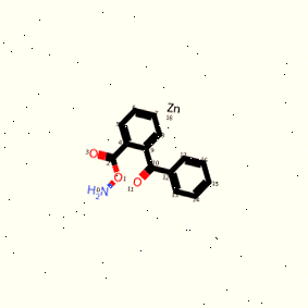 NOC(=O)c1ccccc1C(=O)c1ccccc1.[Zn]